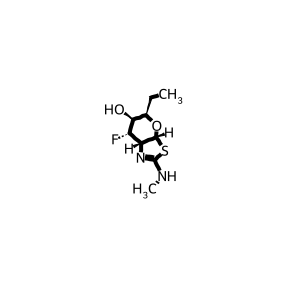 CC[C@H]1O[C@@H]2SC(NC)=N[C@@H]2[C@H](F)[C@H]1O